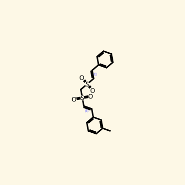 Cc1cccc(/C=C/S(=O)(=O)CS(=O)(=O)/C=C/c2ccccc2)c1